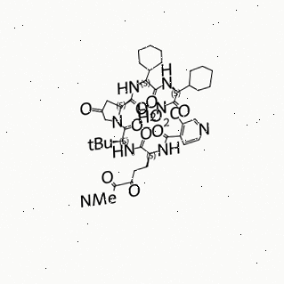 CNC(=O)C(=O)CC[C@H](NC(=O)c1ccncc1C(=O)O)C(=O)N[C@H](C(=O)N1CC(=O)C[C@H]1C(=O)N[C@H](C(=O)N[C@H](C(N)=O)C1CCCCC1)C1CCCCC1)C(C)(C)C